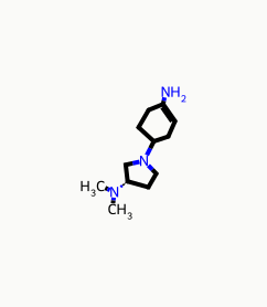 CN(C)[C@H]1CCN(C2CC=C(N)CC2)C1